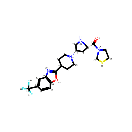 O=C([C@@H]1C[C@H](N2CCC(c3nc4cc(C(F)(F)F)ccc4o3)CC2)CN1)N1CCSC1